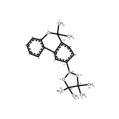 CC1(C)Oc2ccccc2-c2cc(B3OC(C)(C)C(C)(C)O3)ccc21